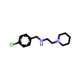 Clc1ccc(CNCCN2CCCCC2)cc1